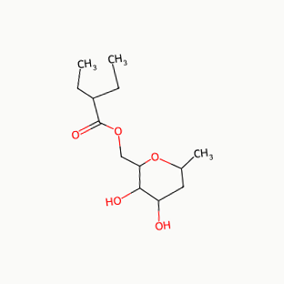 CCC(CC)C(=O)OCC1OC(C)CC(O)C1O